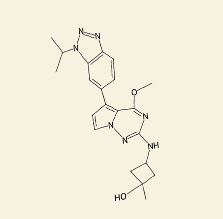 COc1nc(NC2CC(C)(O)C2)nn2ccc(-c3ccc4nnn(C(C)C)c4c3)c12